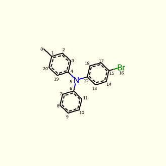 Cc1ccc(N(c2ccccc2)c2ccc(Br)cc2)cc1